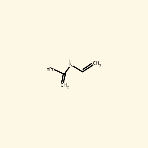 C=CNC(=C)CCC